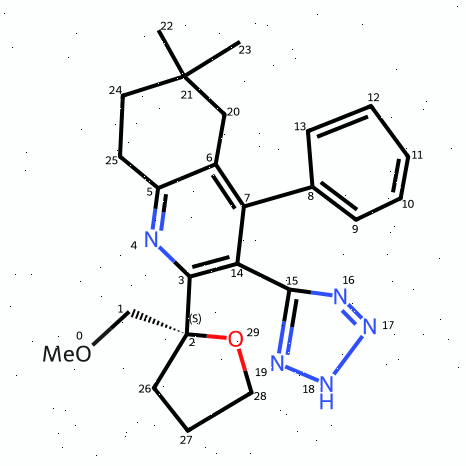 COC[C@@]1(c2nc3c(c(-c4ccccc4)c2-c2nn[nH]n2)CC(C)(C)CC3)CCCO1